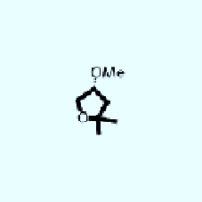 CO[C@H]1COC(C)(C)C1